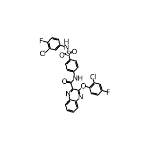 O=C(Nc1ccc(S(=O)(=O)Nc2ccc(F)c(Cl)c2)cc1)c1nc2ccccc2nc1Oc1ccc(F)cc1Cl